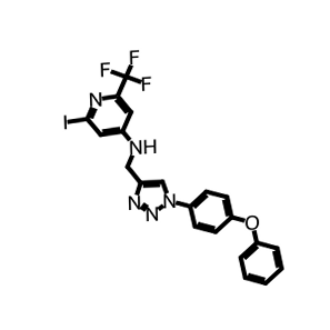 FC(F)(F)c1cc(NCc2cn(-c3ccc(Oc4ccccc4)cc3)nn2)cc(I)n1